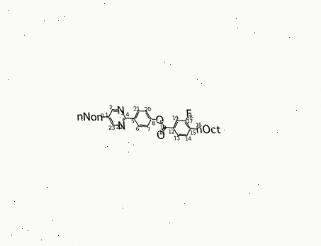 CCCCCCCCCc1cnc(-c2ccc(OC(=O)c3ccc(CCCCCCCC)c(F)c3)cc2)nc1